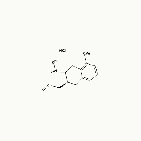 C=CC[C@@H]1Cc2cccc(OC)c2C[C@H]1NCCC.Cl